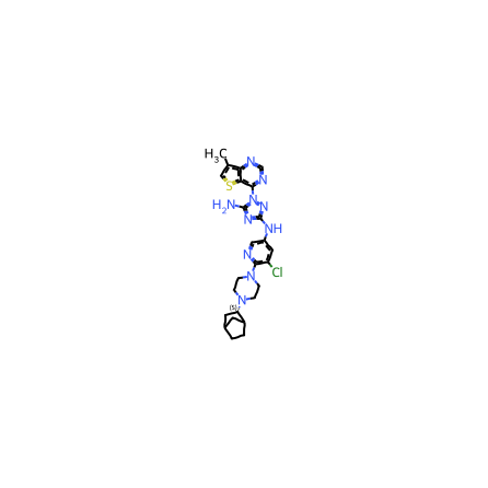 Cc1csc2c(-n3nc(Nc4cnc(N5CCN([C@H]6CC7CCC6C7)CC5)c(Cl)c4)nc3N)ncnc12